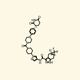 C[C@@]12Cc3[nH]nc(C(=O)Nc4cnn(C5CCC(C(=O)N6CCN(c7ccc([C@H]8CCC(=O)NC8=O)cc7)CC6)CC5)c4)c3C[C@@H]1C2(F)F